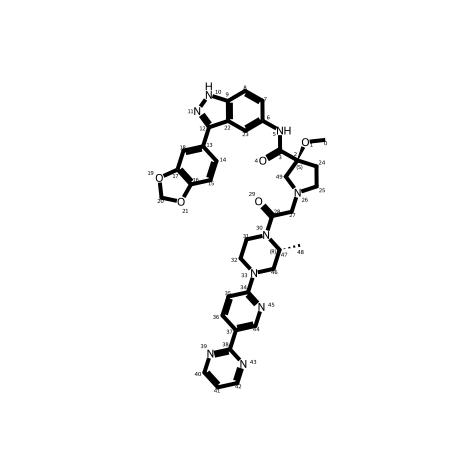 CO[C@@]1(C(=O)Nc2ccc3[nH]nc(-c4ccc5c(c4)OCO5)c3c2)CCN(CC(=O)N2CCN(c3ccc(-c4ncccn4)cn3)C[C@H]2C)C1